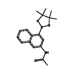 CC(=O)Nc1cc(B2OC(C)(C)C(C)(C)O2)c2ccccc2c1